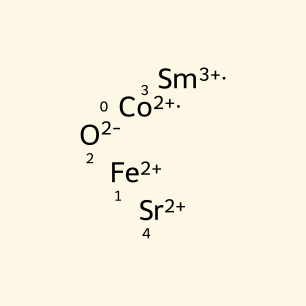 [Co+2].[Fe+2].[O-2].[Sm+3].[Sr+2]